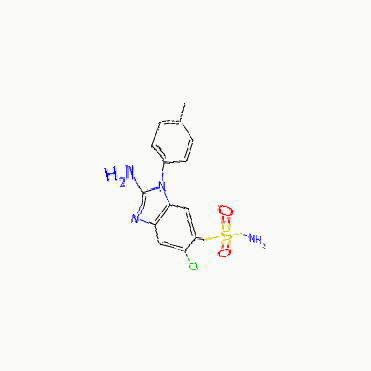 Cc1ccc(-n2c(N)nc3cc(Cl)c(S(N)(=O)=O)cc32)cc1